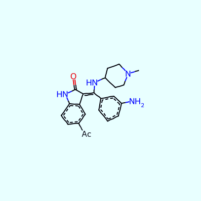 CC(=O)c1ccc2c(c1)/C(=C(/NC1CCN(C)CC1)c1cccc(N)c1)C(=O)N2